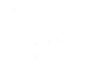 Cc1ccc(C(C)c2cnnn2-c2cc(-c3cccc(S(=O)(=O)N(C)C)c3)ccc2-n2cc(C)nc2C)cc1